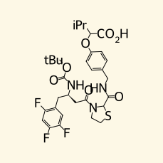 CC(C)C(Oc1ccc(CNC(=O)C2SCCN2C(=O)C[C@@H](Cc2cc(F)c(F)cc2F)NC(=O)OC(C)(C)C)cc1)C(=O)O